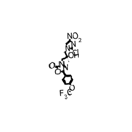 C[C@@](O)(Cn1cc([N+](=O)[O-])nc1Cl)Cn1nc(-c2ccc(OC(F)(F)F)cc2)oc1=O